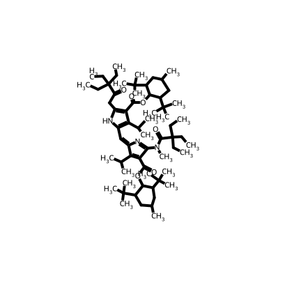 CCC(CC)(CC)C(=O)Cc1[nH]c(/C=C2\N=C(N(C)C(=O)C(CC)(CC)CC)C(C(=O)OC3C(C(C)(C)C)CC(C)CC3C(C)(C)C)=C2C(C)C)c(C(C)C)c1C(=O)OC1C(C(C)(C)C)CC(C)CC1C(C)(C)C